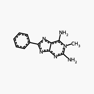 Cn1c(N)nc2nc(-c3ccccc3)nc-2c1N